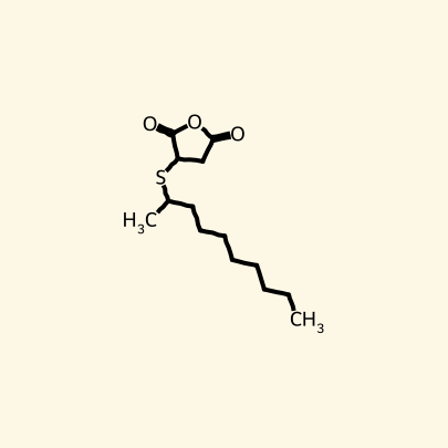 CCCCCCCCC(C)SC1CC(=O)OC1=O